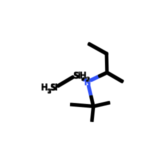 CCC(C)N([SiH2][SiH3])C(C)(C)C